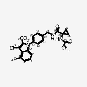 O=C(O)c1c(Cl)c2c(F)cccc2n1-c1ccc(CNC(=O)C2(NC(=O)C(F)(F)F)CC2)cc1